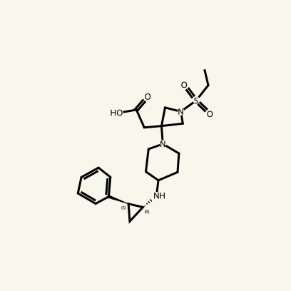 CCS(=O)(=O)N1CC(CC(=O)O)(N2CCC(N[C@@H]3C[C@H]3c3ccccc3)CC2)C1